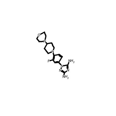 Nc1nc(N)n(-c2ccc(N3CCC(N4CCOCC4)CC3)c(F)c2)n1